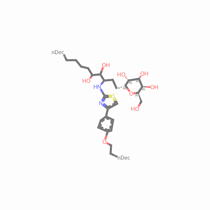 CCCCCCCCCCCCCCC(O)C(O)C(CC[C@H]1O[C@H](CO)[C@H](O)[C@H](O)[C@H]1O)Nc1nc(-c2ccc(OCCCCCCCCCCCC)cc2)cs1